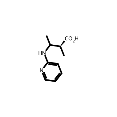 CC(Nc1ccccn1)[C@H](C)C(=O)O